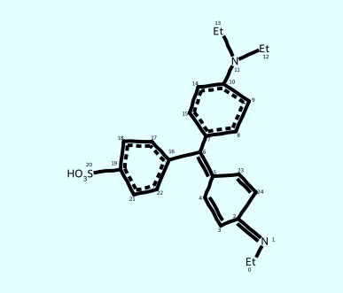 CCN=C1C=CC(=C(c2ccc(N(CC)CC)cc2)c2ccc(S(=O)(=O)O)cc2)C=C1